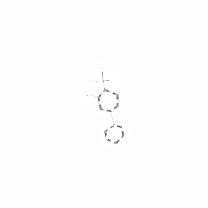 [2H]C([2H])([2H])c1ccc(-c2ccccc2)cc1Br